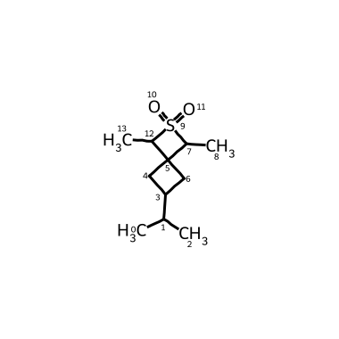 CC(C)C1CC2(C1)C(C)S(=O)(=O)C2C